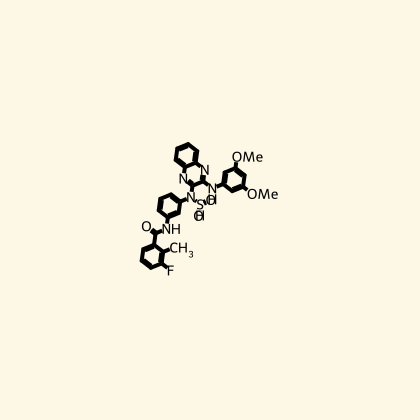 COc1cc(Nc2nc3ccccc3nc2N(c2cccc(NC(=O)c3cccc(F)c3C)c2)[SH](=O)=O)cc(OC)c1